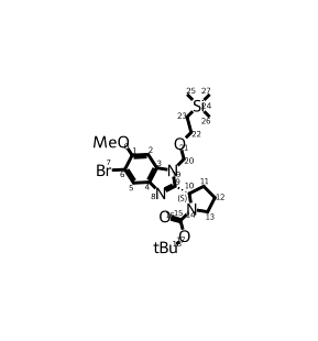 COc1cc2c(cc1Br)nc([C@@H]1CCCN1C(=O)OC(C)(C)C)n2COCC[Si](C)(C)C